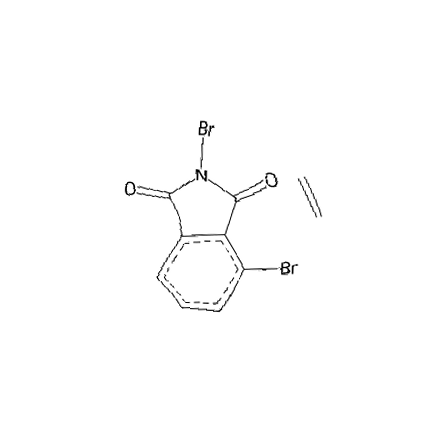 C=C.O=C1c2cccc(Br)c2C(=O)N1Br